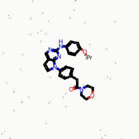 CC(C)Oc1ccc(Nc2ncc3ccn(-c4ccc(CC(=O)N5CCOCC5)cc4)c3n2)cc1